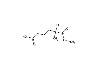 COC(=O)C(C)(C)CCCC(=O)O